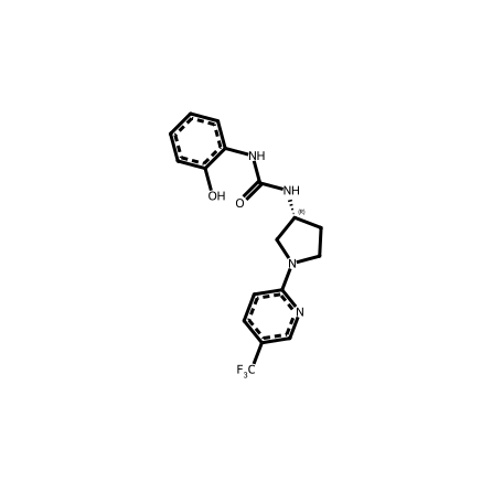 O=C(Nc1ccccc1O)N[C@@H]1CCN(c2ccc(C(F)(F)F)cn2)C1